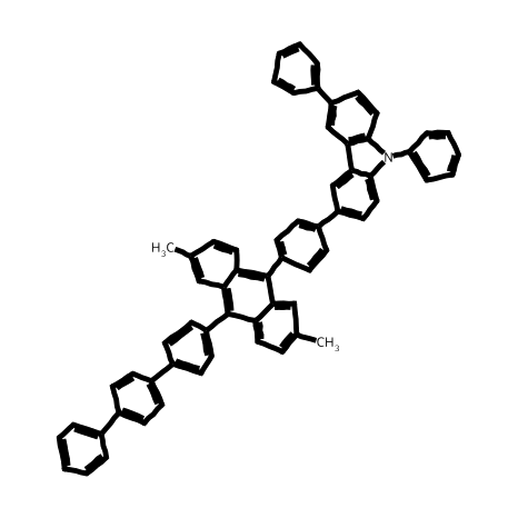 Cc1ccc2c(-c3ccc(-c4ccc5c(c4)c4cc(-c6ccccc6)ccc4n5-c4ccccc4)cc3)c3cc(C)ccc3c(-c3ccc(-c4ccc(-c5ccccc5)cc4)cc3)c2c1